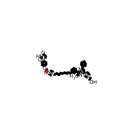 Cc1nn2c(N3CCN(CCO)CC3)cc(-c3ccccc3)nc2c1-c1cccc(CCCCCCCCCN2CCN(C(=O)COc3ccc(N4CCC(=O)NC4=O)cc3)CC2)c1